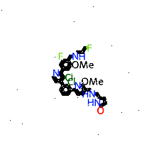 COc1cc(-c2nccc(-c3cccc(-c4ccc(CNCC5CCC(=O)N5)c(OC)n4)c3Cl)c2Cl)cc(F)c1CNCCCF